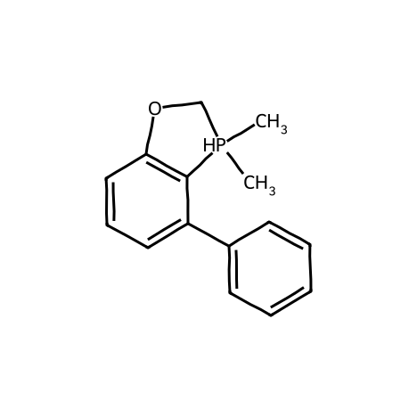 C[PH]1(C)COc2cccc(-c3ccccc3)c21